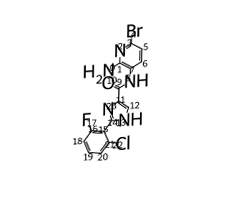 Nc1nc(Br)ccc1NC(=O)c1c[nH]c(-c2c(F)cccc2Cl)n1